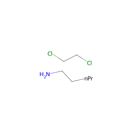 CCCCCN.ClCCCl